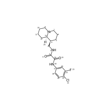 O=C(NC[C@@H]1CCCN2CCCC[C@H]12)C(=O)Nc1ccc(Cl)c(F)c1